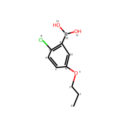 CCCOc1ccc(Cl)c(B(O)O)c1